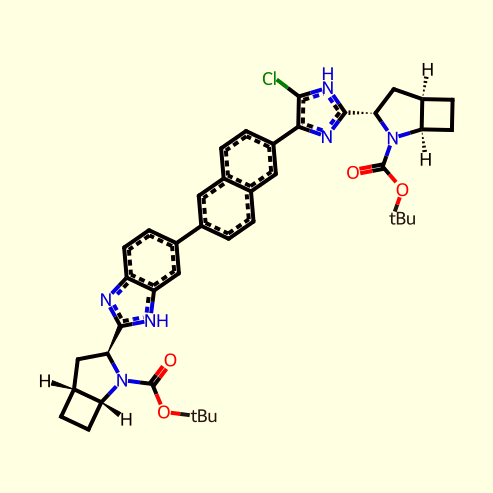 CC(C)(C)OC(=O)N1[C@@H]2CC[C@@H]2C[C@H]1c1nc(-c2ccc3cc(-c4ccc5nc([C@@H]6C[C@H]7CC[C@H]7N6C(=O)OC(C)(C)C)[nH]c5c4)ccc3c2)c(Cl)[nH]1